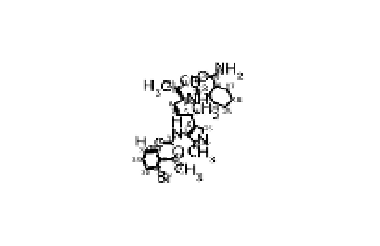 C=C(NC1=C(C(=C)/C=C\C(NC(=O)[C@H]2CCCC[C@@H]2C(N)=O)=C(C)C)CN=C1C)O[C@H](C)c1ccccc1Br